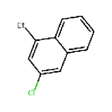 CCc1cc(Cl)cc2ccccc12